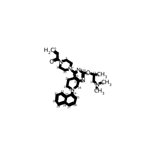 C=CC(=O)N1CCN(c2nc(OC(C)CN(C)C)nc3c2CCN(c2cccc4ccccc24)C3)CC1